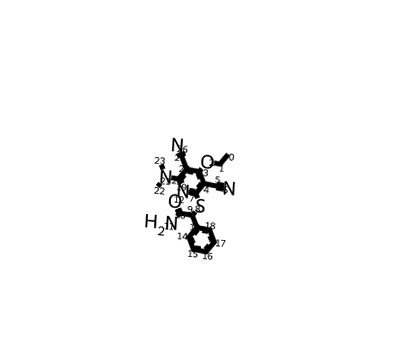 CCOc1c(C#N)c(SC(C(N)=O)c2ccccc2)nc(N(C)C)c1C#N